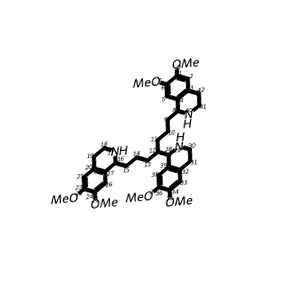 COc1cc2c(cc1OC)C(CCCC(CCCC1NCCc3cc(OC)c(OC)cc31)C1NCCc3cc(OC)c(OC)cc31)NCC2